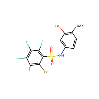 COc1ccc(NS(=O)(=O)c2c(F)c(F)c(F)c(F)c2Br)cc1O